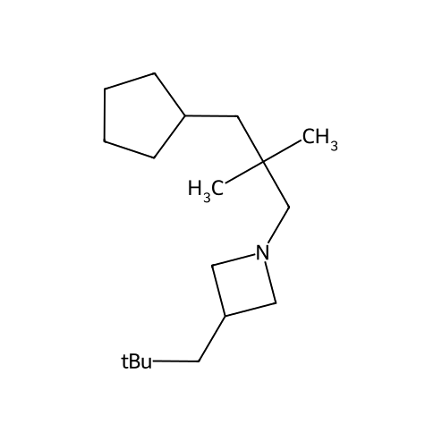 CC(C)(C)CC1CN(CC(C)(C)CC2CCCC2)C1